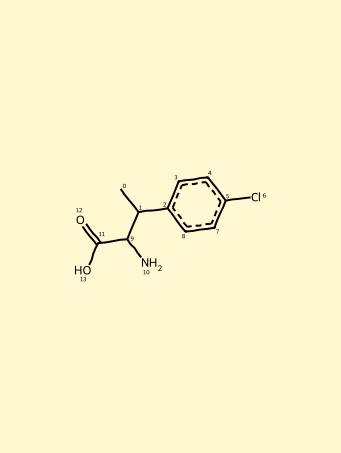 CC(c1ccc(Cl)cc1)C(N)C(=O)O